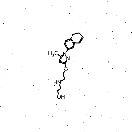 Cc1cc(OCCNCCO)nn1-c1ccc2c(c1)C=CCC2